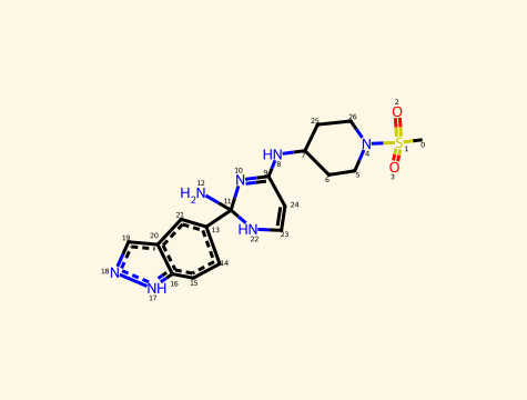 CS(=O)(=O)N1CCC(NC2=NC(N)(c3ccc4[nH]ncc4c3)NC=C2)CC1